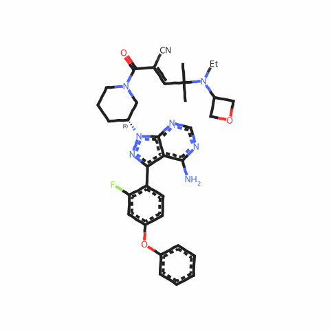 CCN(C1COC1)C(C)(C)C=C(C#N)C(=O)N1CCC[C@@H](n2nc(-c3ccc(Oc4ccccc4)cc3F)c3c(N)ncnc32)C1